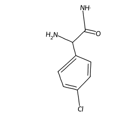 [NH]C(=O)C(N)c1ccc(Cl)cc1